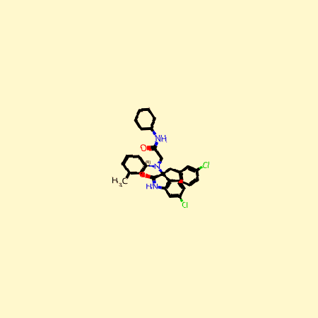 CC1CCC[C@@H](N(CC(=O)NC2CCCCC2)C2(Cc3cccc(Cl)c3)C(=O)Nc3cc(Cl)ccc32)C1